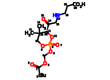 CC(C)(C)C(=O)OCOP1(=O)OCC(C)(C)[C@H](C(=O)CNCCC(=O)O)O1